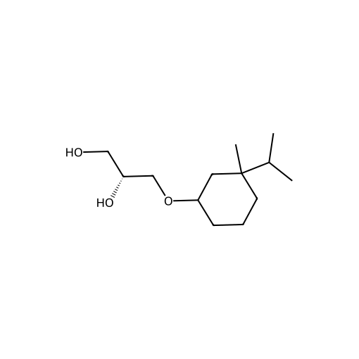 CC(C)C1(C)CCCC(OC[C@H](O)CO)C1